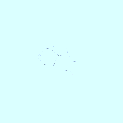 O=CC1(Br)c2ccccc2CC(O)C1O